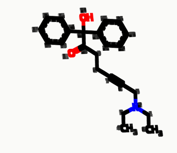 CCN(CC)CC#CCCC(=O)C(O)(c1ccccc1)c1ccccc1